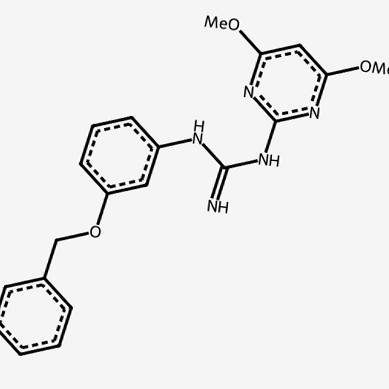 COc1cc(OC)nc(NC(=N)Nc2cccc(OCc3ccccc3)c2)n1